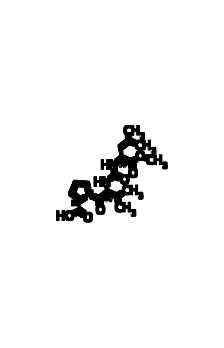 COC(=O)[C@H](CC(C)C)NC(=O)N[C@H](C(=O)N1CCC[C@H]1C(=O)O)C(C)C